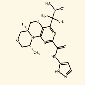 C[C@@H]1COC[C@H]2COc3c(nc(C(=O)Nc4ccn[nH]4)nc3C(C)(C)[S+](C)[O-])N21